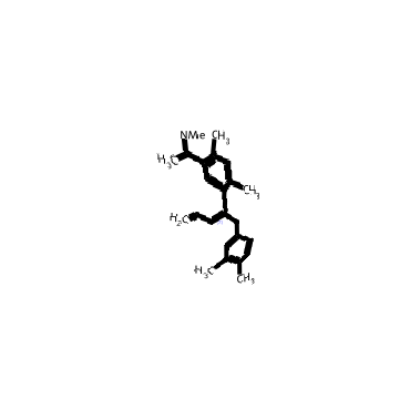 C=C/C=C(/Cc1ccc(C)c(C)c1)c1cc(C(C)NC)c(C)cc1C